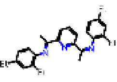 CCc1ccc(N=C(C)c2cccc(C(C)=Nc3ccc(CC)cc3CC)n2)c(CC)c1